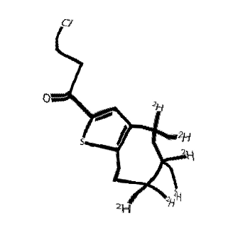 [2H]C1([2H])Cc2sc(C(=O)CCCl)cc2C([2H])([2H])C1([2H])[2H]